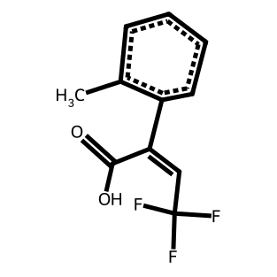 Cc1ccccc1C(=CC(F)(F)F)C(=O)O